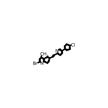 Cc1cc(Br)nc2ccc(C#Cc3ccc(-c4ccc(Cl)cc4)cn3)cc12